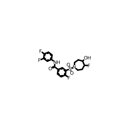 O=C(Nc1ccc(F)c(F)c1)c1ccc(F)c(S(=O)(=O)N2CCC(O)C(F)CC2)c1